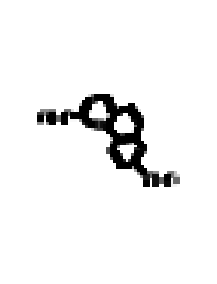 O=Cc1ccc2c(ccc3ccc(C=O)cc32)c1